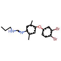 CCCNC=Nc1cc(C)c(Oc2ccc(Br)c(Br)c2)cc1C